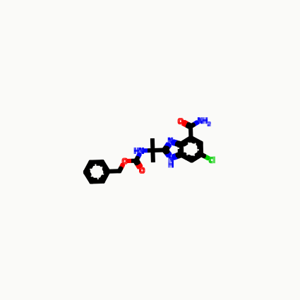 CC(C)(NC(=O)OCc1ccccc1)c1nc2c(C(N)=O)cc(Cl)cc2[nH]1